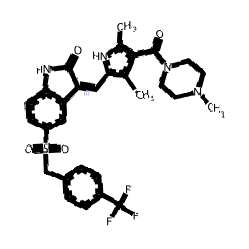 Cc1[nH]c(/C=C2\C(=O)Nc3ccc(S(=O)(=O)Cc4ccc(C(F)(F)F)cc4)cc32)c(C)c1C(=O)N1CCN(C)CC1